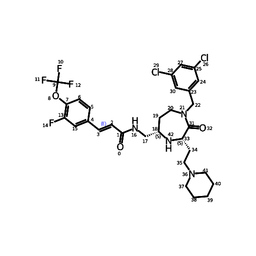 O=C(/C=C/c1ccc(OC(F)(F)F)c(F)c1)NC[C@@H]1CCN(Cc2cc(Cl)cc(Cl)c2)C(=O)[C@H](CCN2CCCCC2)N1